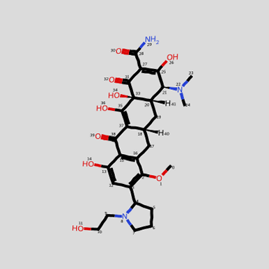 COc1c(C2CCCN2CCO)cc(O)c2c1C[C@H]1C[C@H]3[C@H](N(C)C)C(O)=C(C(N)=O)C(=O)[C@@]3(O)C(O)=C1C2=O